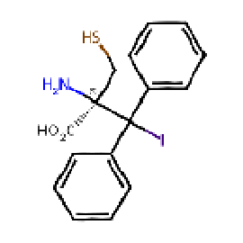 N[C@](CS)(C(=O)O)C(I)(c1ccccc1)c1ccccc1